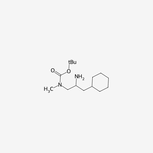 CN(CC(N)CC1CCCCC1)C(=O)OC(C)(C)C